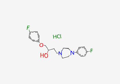 Cl.OC(CCN1CCN(c2ccc(F)cc2)CC1)COc1ccc(F)cc1